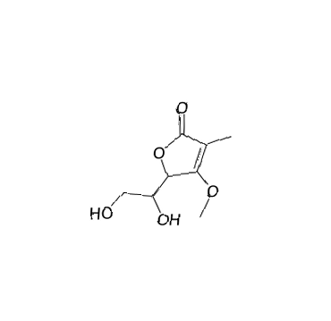 COC1=C(C)C(=O)OC1C(O)CO